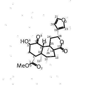 COC(=O)[C@@H]1CC(O)C(=O)[C@H]2[C@@]1(C)CCC1C(=O)O[C@@H](c3ccoc3)C[C@@]12C